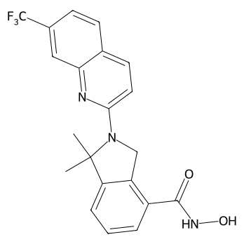 CC1(C)c2cccc(C(=O)NO)c2CN1c1ccc2ccc(C(F)(F)F)cc2n1